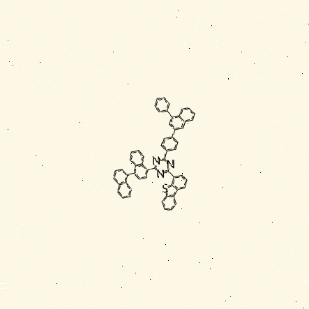 c1ccc(-c2cc(-c3ccc(-c4nc(-c5ccc(-c6cccc7ccccc67)c6ccccc56)nc(-c5cccc6c5sc5ccccc56)n4)cc3)cc3ccccc23)cc1